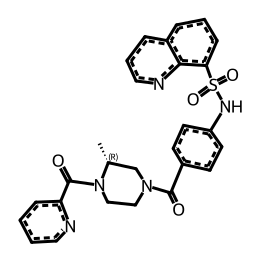 C[C@@H]1CN(C(=O)c2ccc(NS(=O)(=O)c3cccc4cccnc34)cc2)CCN1C(=O)c1ccccn1